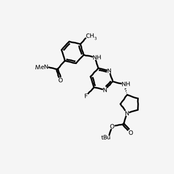 CNC(=O)c1ccc(C)c(Nc2cc(F)nc(N[C@@H]3CCN(C(=O)OC(C)(C)C)C3)n2)c1